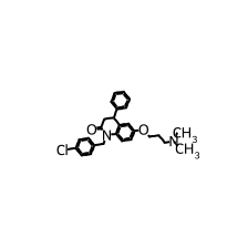 CN(C)CCCOc1ccc2c(c1)C(c1ccccc1)CC(=O)N2Cc1ccc(Cl)cc1